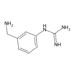 N=C(N)Nc1cccc(CN)c1